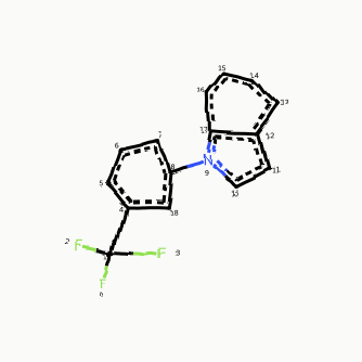 FC(F)(F)c1cccc(-n2ccc3c[c]ccc32)c1